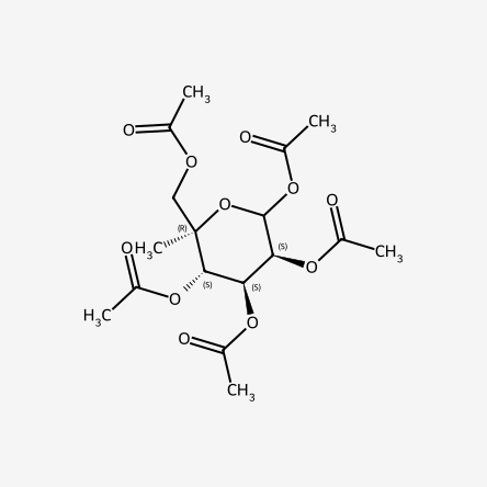 CC(=O)OC[C@@]1(C)OC(OC(C)=O)[C@@H](OC(C)=O)[C@@H](OC(C)=O)[C@@H]1OC(C)=O